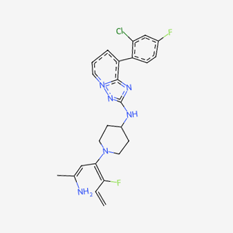 C=C/C(F)=C(\C=C(\C)N)N1CCC(Nc2nc3c(-c4ccc(F)cc4Cl)cccn3n2)CC1